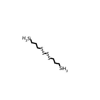 [SiH3]CCCSSSSCCC[SiH3]